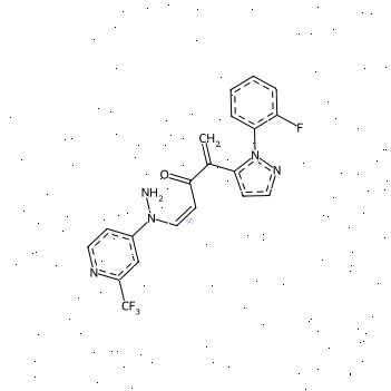 C=C(C(=O)/C=C\N(N)c1ccnc(C(F)(F)F)c1)c1ccnn1-c1ccccc1F